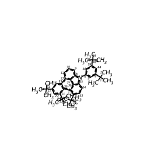 CC(C)(C)c1cc(-n2c3cccc4c5cc(C(C)(C)C)cc(C(C)(C)C)c5c5c(C(C)(C)C)ccc2c5c43)cc(C(C)(C)C)c1